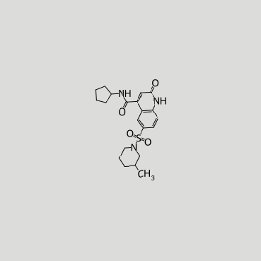 CC1CCCN(S(=O)(=O)c2ccc3[nH]c(=O)cc(C(=O)NC4CCCC4)c3c2)C1